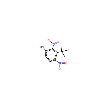 CC(C)(C)c1c([N+](=O)[O-])ccc(O)c1[N+](=O)[O-]